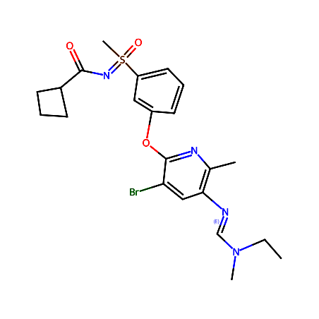 CCN(C)/C=N/c1cc(Br)c(Oc2cccc(S(C)(=O)=NC(=O)C3CCC3)c2)nc1C